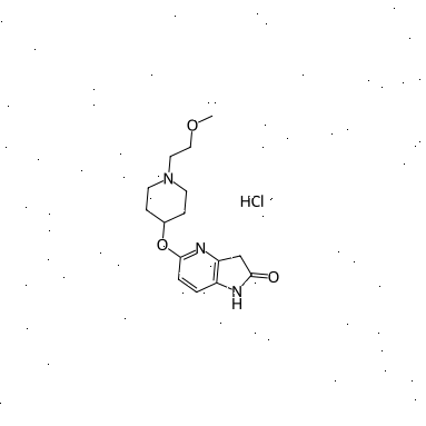 COCCN1CCC(Oc2ccc3c(n2)CC(=O)N3)CC1.Cl